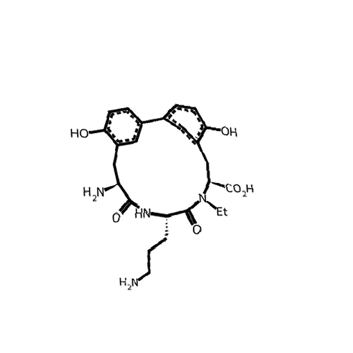 CCN1C(=O)[C@H](CCCN)NC(=O)[C@@H](N)Cc2cc(ccc2O)-c2ccc(O)c(c2)C[C@H]1C(=O)O